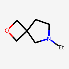 [CH2]CN1CCC2(COC2)C1